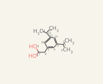 CC(C)c1cc(CC(O)O)cc(C(C)C)c1